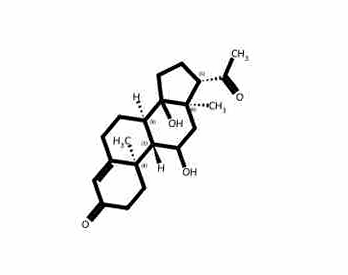 CC(=O)[C@H]1CCC2(O)[C@@H]3CCC4=CC(=O)CC[C@]4(C)[C@H]3C(O)C[C@]12C